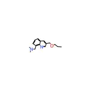 CCCOCc1cnc2c(CN(C)C)cccc2c1